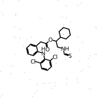 O=C(Cc1ccccc1Nc1c(Cl)cccc1Cl)OC(CNC=S)C1CCCCC1